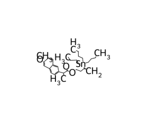 C=[C](CCOC(=O)[C@@H](C)c1ccc2cc(OC)ccc2c1)[Sn]([CH2]CCC)([CH2]CCC)[CH2]CCC